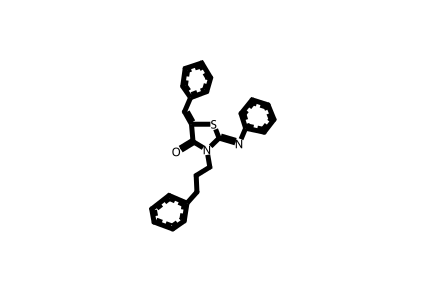 O=C1/C(=C/c2ccccc2)S/C(=N\c2ccccc2)N1CCCc1ccccc1